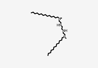 CCCCCCCCCCCCCCN(C)CCNCCNCCN(C)CCCCCCCCCCCC